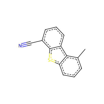 Cc1cccc2sc3c(C#N)cccc3c12